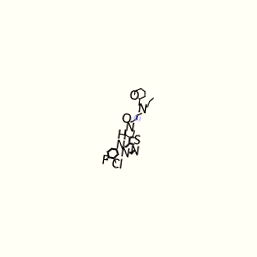 CCCN(C/C=C/C(=O)N1CCc2c(sc3ncnc(Nc4ccc(F)c(Cl)c4)c23)C1)CC1CCCCO1